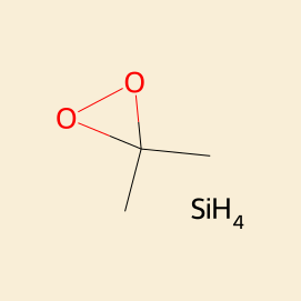 CC1(C)OO1.[SiH4]